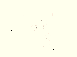 O=COc1ccc(-c2sc3cc(OC=O)ccc3c2C(=O)c2ccc(OCCN3CCCCC3)cc2)cc1